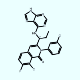 CC[C@H](Nc1ncnc2[nH]cnc12)c1cc2ccc(F)c(Cl)c2c(=O)n1-c1cccc(Cl)c1